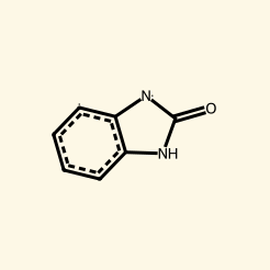 O=C1[N]c2[c]cccc2N1